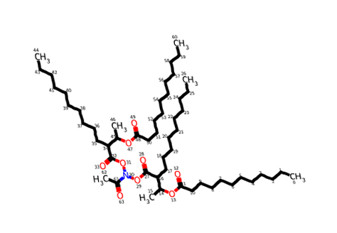 CCCCCCCCCCCC(=O)OC(C)C(CCCCCCCCCC)C(=O)ON(OC(=O)C(CCCCCCCCCC)C(C)OC(=O)CCCCCCCCCCC)C(C)=O